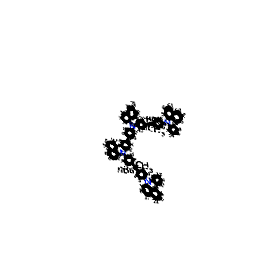 CCCCC(C)(c1ccc(N(c2ccccc2)c2cccc3ccccc23)cc1)c1ccc(N(c2ccc(-c3ccc(N(c4ccc(C(C)(CCCC)c5ccc(N(c6ccccc6)c6cccc7ccccc67)cc5)cc4)c4cccc5ccccc45)cc3)cc2)c2cccc3ccccc23)cc1